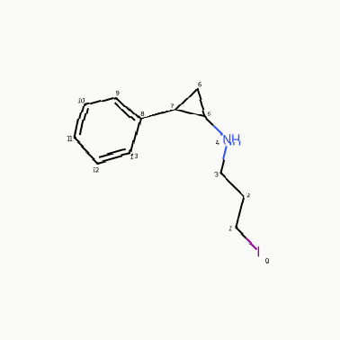 ICCCNC1CC1c1ccccc1